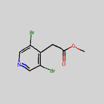 COC(=O)Cc1c(Br)cncc1Br